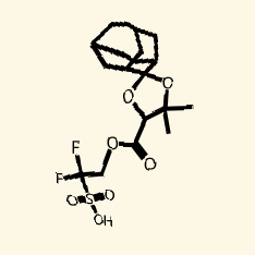 CC1(C)OC2(OC1C(=O)OCC(F)(F)S(=O)(=O)O)C1CC3CC(C1)CC2C3